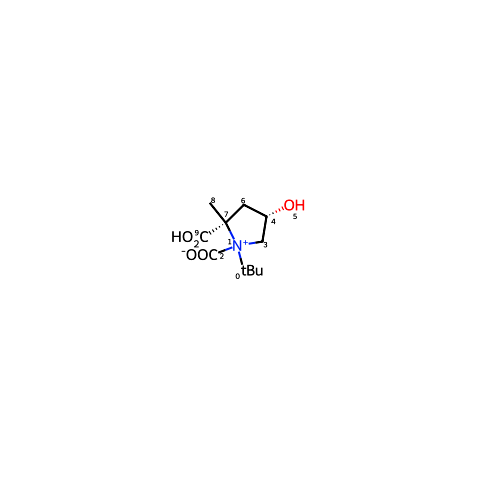 CC(C)(C)[N+]1(C(=O)[O-])C[C@@H](O)C[C@@]1(C)C(=O)O